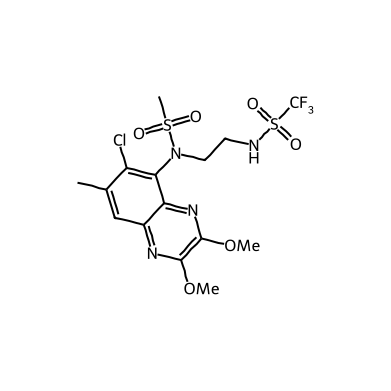 COc1nc2cc(C)c(Cl)c(N(CCNS(=O)(=O)C(F)(F)F)S(C)(=O)=O)c2nc1OC